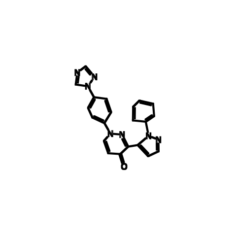 O=c1ccn(-c2ccc(-n3cncn3)cc2)nc1-c1ccnn1-c1ccccc1